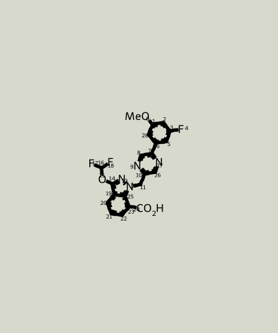 COc1cc(F)cc(-c2cnc(Cn3nc(OC(F)F)c4cccc(C(=O)O)c43)cn2)c1